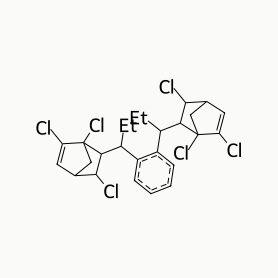 CCC(c1ccccc1C(CC)C1C(Cl)C2C=C(Cl)C1(Cl)C2)C1C(Cl)C2C=C(Cl)C1(Cl)C2